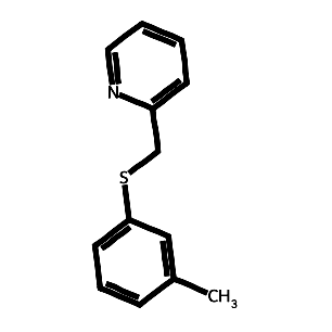 Cc1cccc(SCc2ccccn2)c1